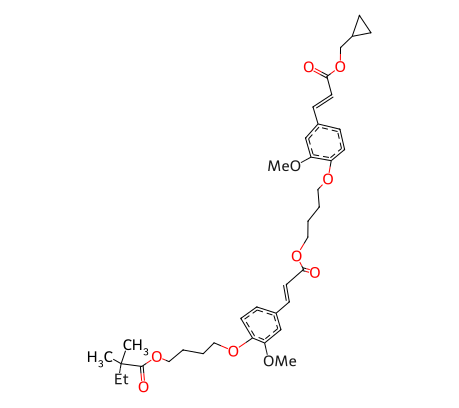 CCC(C)(C)C(=O)OCCCCOc1ccc(/C=C/C(=O)OCCCCOc2ccc(/C=C/C(=O)OCC3CC3)cc2OC)cc1OC